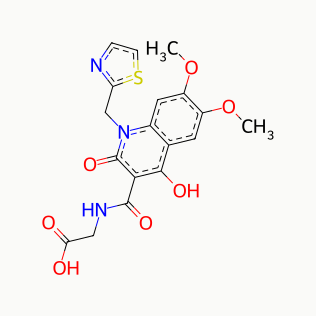 COc1cc2c(O)c(C(=O)NCC(=O)O)c(=O)n(Cc3nccs3)c2cc1OC